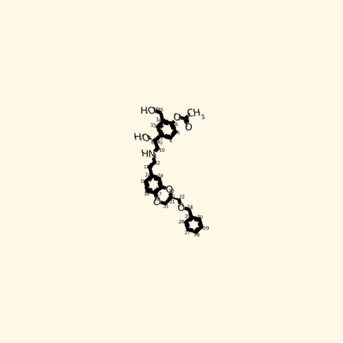 CC(=O)Oc1ccc([C@@H](O)CNCCc2ccc3c(c2)O[C@@H](COCc2ccccc2)CO3)cc1CO